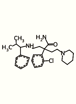 CC(C)C(NCCC(CCN1CCCCC1)(C(N)=O)c1ccccc1Cl)c1ccccc1